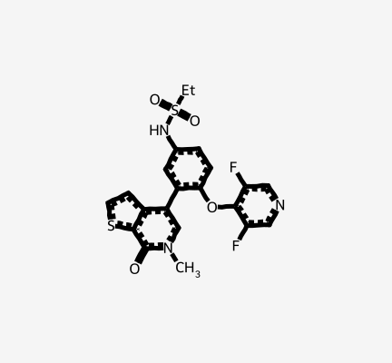 CCS(=O)(=O)Nc1ccc(Oc2c(F)cncc2F)c(-c2cn(C)c(=O)c3sccc23)c1